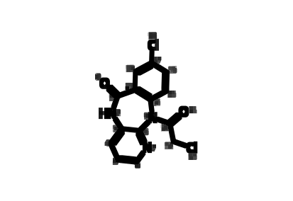 O=C1Nc2cccnc2N(C(=O)CCl)c2ccc(Cl)cc21